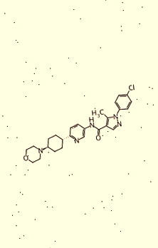 Cc1c(C(=O)Nc2ccc([C@H]3CC[C@H](N4CCOCC4)CC3)nc2)cnn1-c1ccc(Cl)cc1